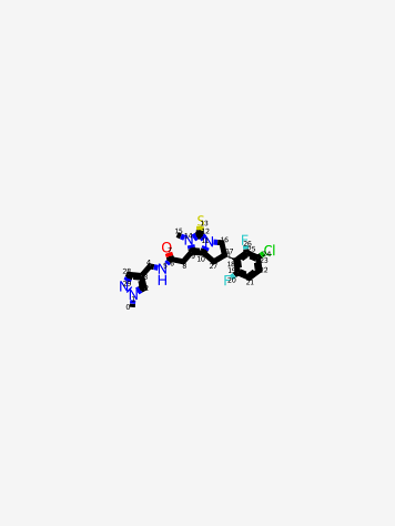 Cn1cc(CNC(=O)Cc2c3n(c(=S)n2C)C[C@H](c2c(F)ccc(Cl)c2F)C3)cn1